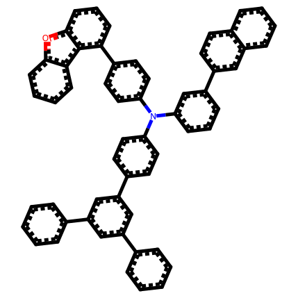 c1ccc(-c2cc(-c3ccccc3)cc(-c3ccc(N(c4ccc(-c5cccc6oc7ccccc7c56)cc4)c4cccc(-c5ccc6ccccc6c5)c4)cc3)c2)cc1